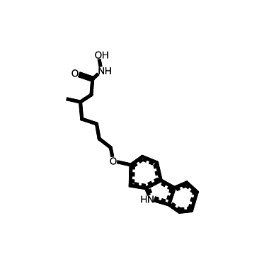 CC(CCCCOc1ccc2c(c1)[nH]c1ccccc12)CC(=O)NO